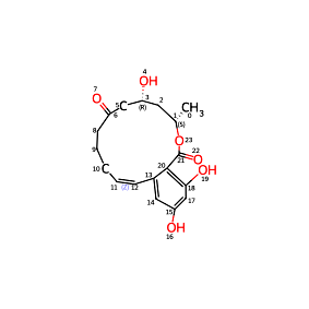 C[C@H]1C[C@@H](O)CC(=O)CCC/C=C\c2cc(O)cc(O)c2C(=O)O1